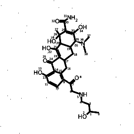 CC(O)CCNCC(=O)c1ccc(O)c2c1CC1CC3C(C(O)=C1C2=O)C(C)(O)C(C(N)=O)=C(O)[C@H]3N(C)C